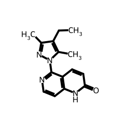 CCc1c(C)nn(-c2nccc3[nH]c(=O)ccc23)c1C